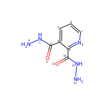 NNC(=O)c1cccnc1C(=O)NN